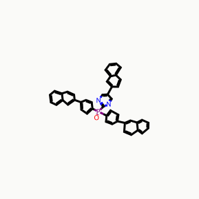 O=P(c1ccc(-c2ccc3ccccc3c2)cc1)(c1ccc(-c2ccc3ccccc3c2)cc1)c1ncc(-c2ccc3ccccc3c2)cn1